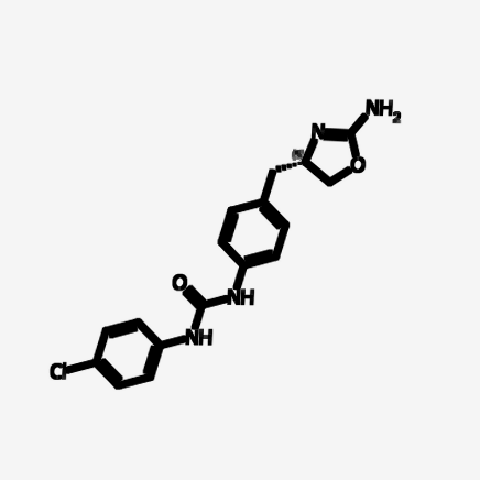 NC1=N[C@@H](Cc2ccc(NC(=O)Nc3ccc(Cl)cc3)cc2)CO1